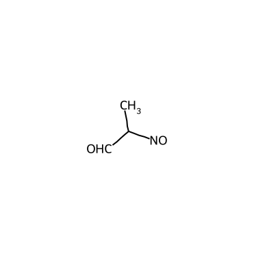 CC(C=O)N=O